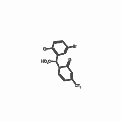 O=C(O)C(c1cc(Br)ccc1Cl)n1ccc(C(F)(F)F)cc1=O